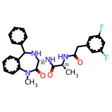 C[C@H](NC(=O)Cc1cc(F)cc(F)c1)C(=O)N[C@H]1NC(c2ccccc2)c2ccccc2N(C)C1=O